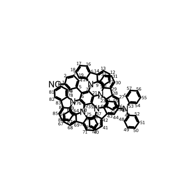 N#Cc1cccc(-c2c(-n3c4ccccc4c4ccccc43)c(-n3c4ccccc4c4ccccc43)c(-n3c4ccccc4c4cc(N(c5ccccc5)c5ccccc5)ccc43)c(-n3c4ccccc4c4ccccc43)c2-n2c3ccccc3c3ccccc32)c1